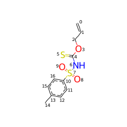 C=CCOC(=S)NS(=O)(=O)c1ccc(C)cc1